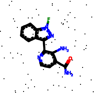 NC(=O)c1ccnc(-c2nn(F)c3ccccc23)c1N